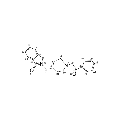 O=C(CN1CCC(CN2Cc3ccccc3C2=O)CC1)c1ccccc1